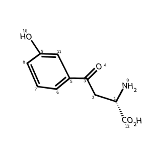 N[C@@H](CC(=O)c1cccc(O)c1)C(=O)O